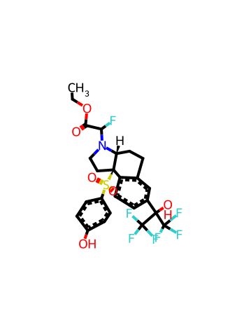 CCOC(=O)C(F)N1CC[C@@]2(S(=O)(=O)c3ccc(O)cc3)c3ccc(C(O)(C(F)(F)F)C(F)(F)F)cc3CC[C@@H]12